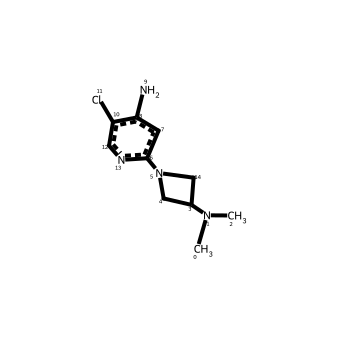 CN(C)C1CN(c2cc(N)c(Cl)cn2)C1